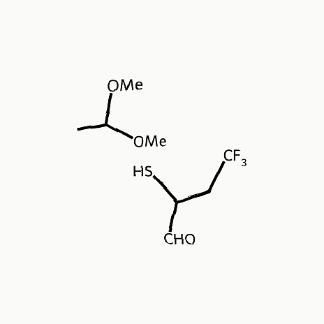 COC(C)OC.O=CC(S)CC(F)(F)F